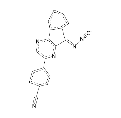 [C-]#[N+]/N=C1\c2ccccc2-c2ncc(-c3ccc(C#N)cc3)nc21